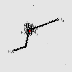 CCCCCCCCC=CCCCCCCCC(=O)C(C)(CC(O)(NC)C(C)(C(=O)O)C(=O)CCCCCCC/C=C\CCCCCCCC)C(=O)O.COS(=O)(=O)O